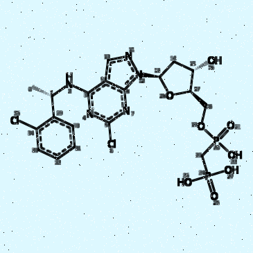 C[C@H](Nc1nc(Cl)nc2c1cnn2[C@H]1C[C@H](O)[C@@H](COP(=O)(O)CP(=O)(O)O)O1)c1ccccc1Cl